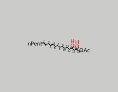 CCCCC/C=C/C/C=C/CCCCCCCC(O)CC(O)COC(C)=O